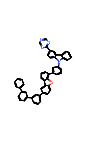 c1ccc(-c2cccc(-c3cccc(-c4ccc5oc6c(-c7cccc(-n8c9ccccc9c9cc(-c%10ncncn%10)ccc98)c7)cccc6c5c4)c3)c2)cc1